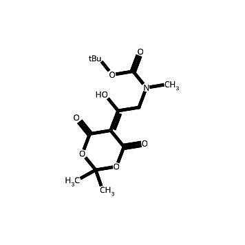 CN(CC(O)=C1C(=O)OC(C)(C)OC1=O)C(=O)OC(C)(C)C